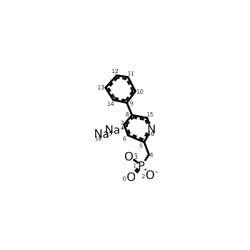 O=P([O-])([O-])Cc1ccc(-c2ccccc2)cn1.[Na+].[Na+]